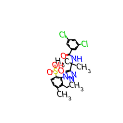 CCc1c(C)ccc(S(=O)(=O)O)c1-n1cc(C(C)(C)NC(=O)c2cc(Cl)cc(Cl)c2)nn1